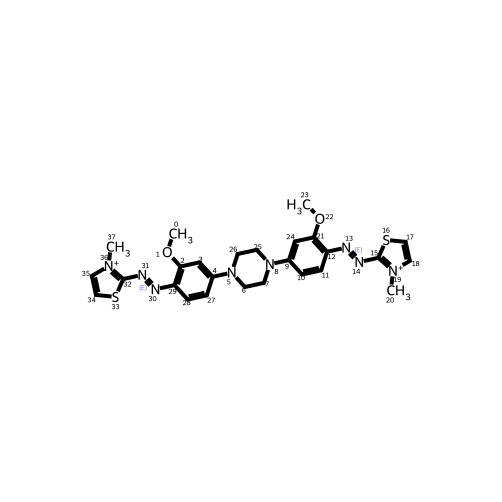 COc1cc(N2CCN(c3ccc(/N=N/c4scc[n+]4C)c(OC)c3)CC2)ccc1/N=N/c1scc[n+]1C